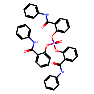 O=C(Nc1ccccc1)c1ccccc1OP(=O)(Oc1ccccc1C(=O)Nc1ccccc1)Oc1ccccc1C(=O)Nc1ccccc1